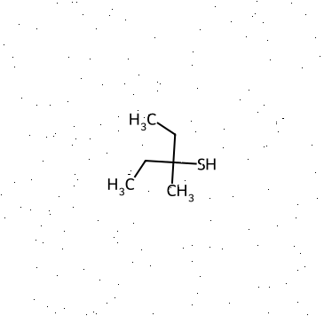 CCC(C)(S)CC